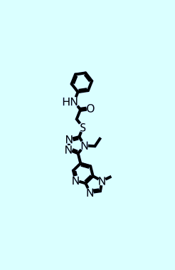 CCn1c(SCC(=O)Nc2ccccc2)nnc1-c1cnc2ncn(C)c2c1